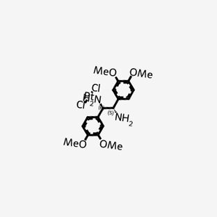 COc1ccc([C@@H](N)[C@@H](N)c2ccc(OC)c(OC)c2)cc1OC.[Cl][Pt][Cl]